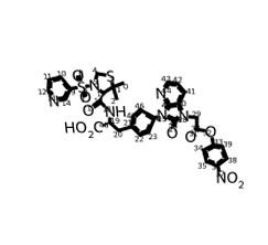 CC1(C)SCN(S(=O)(=O)c2cccnc2)[C@@H]1C(=O)N[C@@H](Cc1ccc(-n2c(=O)n(CC(=O)Oc3ccc([N+](=O)[O-])cc3)c3cccnc32)cc1)C(=O)O